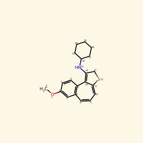 COc1ccc2c(c1)C=CC=C1SCC(NC3CCCCC3)=C12